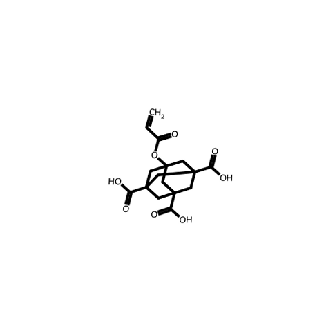 C=CC(=O)OC12CC3(C(=O)O)CC(C(=O)O)(C1)CC(C(=O)O)(C2)C3